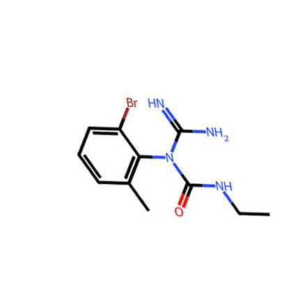 CCNC(=O)N(C(=N)N)c1c(C)cccc1Br